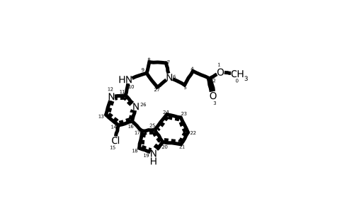 COC(=O)CCN1CCC(Nc2ncc(Cl)c(-c3c[nH]c4ccccc34)n2)C1